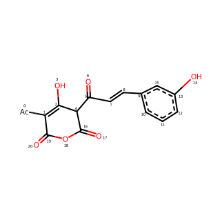 CC(=O)C1=C(O)C(C(=O)C=Cc2cccc(O)c2)C(=O)OC1=O